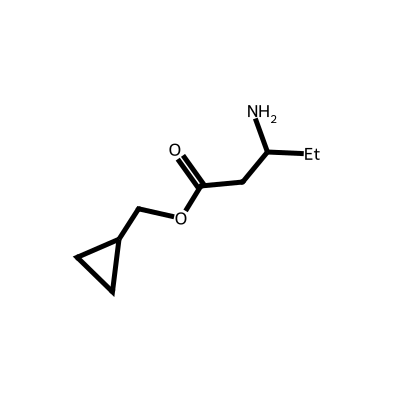 CCC(N)CC(=O)OCC1CC1